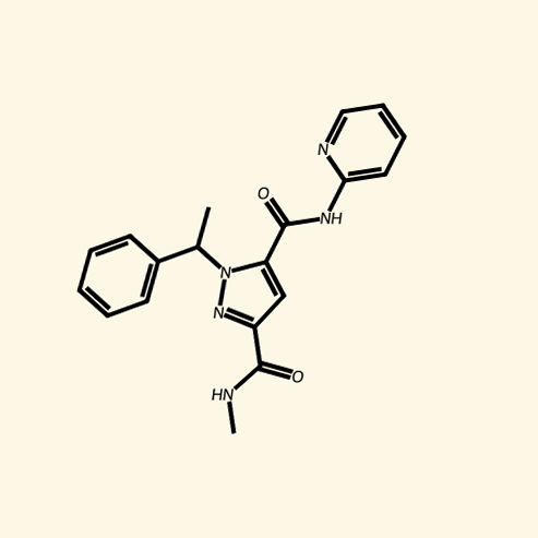 CNC(=O)c1cc(C(=O)Nc2ccccn2)n(C(C)c2ccccc2)n1